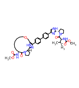 COC(=O)N[C@H]1CCCCCCCOCc2[nH]c(nc2-c2ccc(-c3ccc(-c4c[nH]c([C@@H]5CCCN5C(=O)[C@@H](NC(=O)OC)C(C)C)n4)cc3)cc2)[C@@H]2CCCN2C1=O